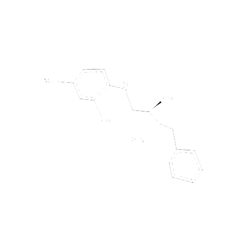 COc1ccc(NC[C@@H](O)[C@@H](N)Cc2ccccc2)c(C)c1